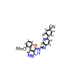 COc1ccccc1-c1cnncc1C(=O)Nc1nc2ccc(-c3ccc(C#N)cc3C)nc2s1